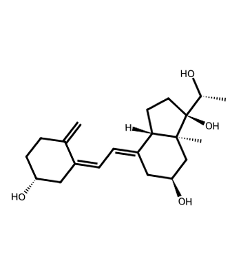 C=C1CC[C@@H](O)C/C1=C/C=C1\C[C@H](O)C[C@@]2(C)[C@H]1CC[C@]2(O)[C@@H](C)O